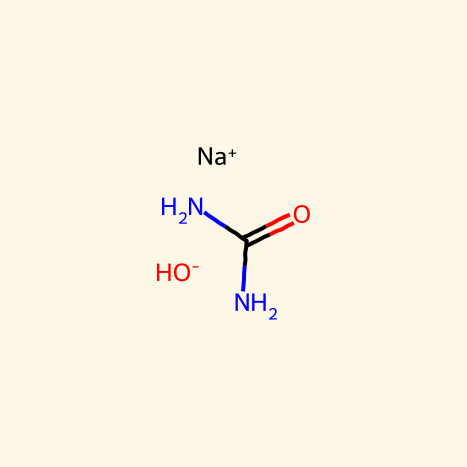 NC(N)=O.[Na+].[OH-]